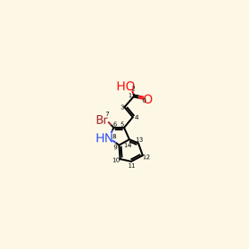 O=C(O)C=Cc1c(Br)[nH]c2ccccc12